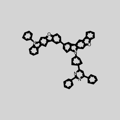 c1ccc(-c2cc(-c3ccc(-n4c5ccc(-c6ccc7oc8cc9c(cc8c7c6)c6ccccc6n9-c6ccccc6)cc5c5cc6c(cc54)oc4ccccc46)cc3)nc(-c3ccccc3)n2)cc1